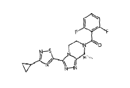 C[C@@H]1c2nnc(-c3nc(C4CC4)ns3)n2CCN1C(=O)c1c(F)cccc1F